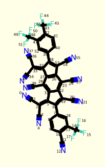 N#CC(C#N)=C1C(c2ccc(C#N)c(C(F)(F)F)c2)=C(C#N)c2c(C#N)c3c(c(C#N)c21)C(=C(C#N)C#N)C(c1ccc(C(F)(F)F)c(C(F)(F)F)c1)=C3C#N